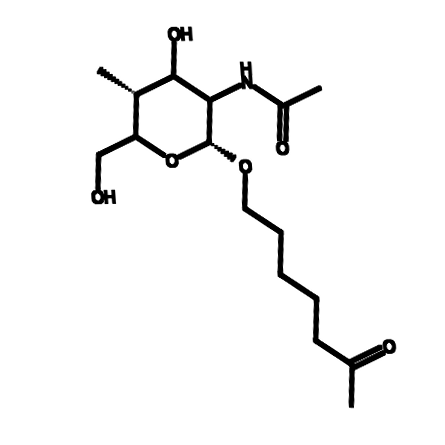 CC(=O)CCCCCO[C@@H]1OC(CO)[C@H](C)C(O)C1NC(C)=O